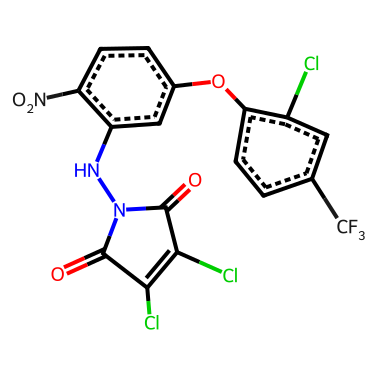 O=C1C(Cl)=C(Cl)C(=O)N1Nc1cc(Oc2ccc(C(F)(F)F)cc2Cl)ccc1[N+](=O)[O-]